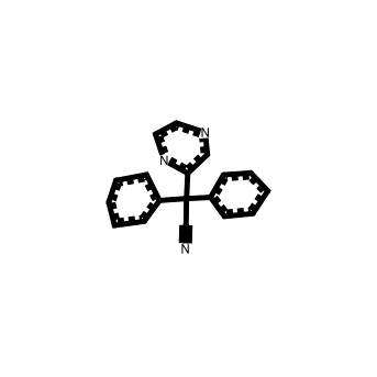 N#CC(c1ccccc1)(c1ccccc1)c1cnccn1